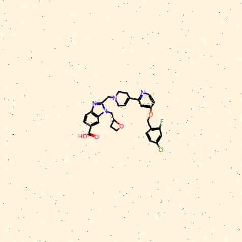 O=C(O)c1ccc2nc(CN3CC=C(c4cc(OCc5ccc(Cl)cc5F)ccn4)CC3)n(C[C@@H]3CCO3)c2c1